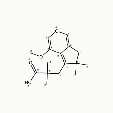 COC1=COC=C2CC(C)(C)C(CC(C)(C)C(=O)O)=C21